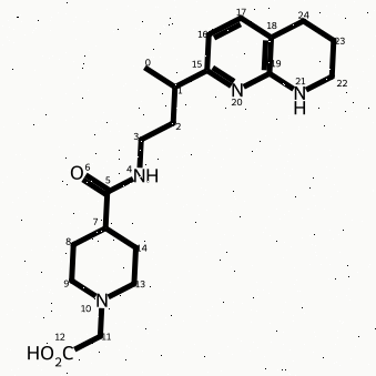 CC(CCNC(=O)C1CCN(CC(=O)O)CC1)c1ccc2c(n1)NCCC2